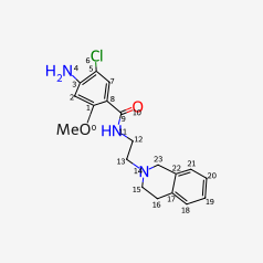 COc1cc(N)c(Cl)cc1C(=O)NCCN1CCc2ccccc2C1